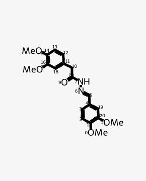 COc1ccc(/C=N/NC(=O)Cc2ccc(OC)c(OC)c2)cc1OC